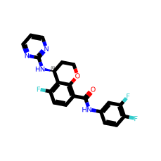 O=C(Nc1ccc(F)c(F)c1)c1ccc(F)c2c1OCC[C@@H]2Nc1ncccn1